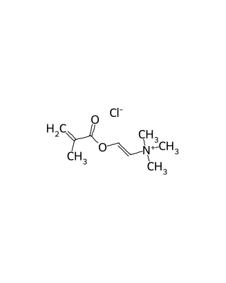 C=C(C)C(=O)OC=C[N+](C)(C)C.[Cl-]